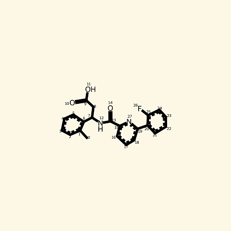 Cc1ccccc1C(CC(=O)O)NC(=O)c1cccc(-c2ccccc2F)n1